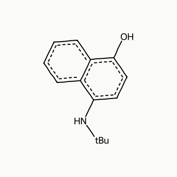 CC(C)(C)Nc1ccc(O)c2ccccc12